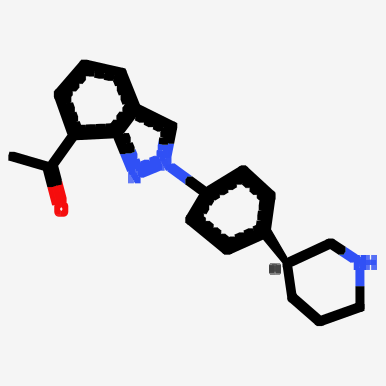 CC(=O)c1cccc2cn(-c3ccc([C@@H]4CCCNC4)cc3)nc12